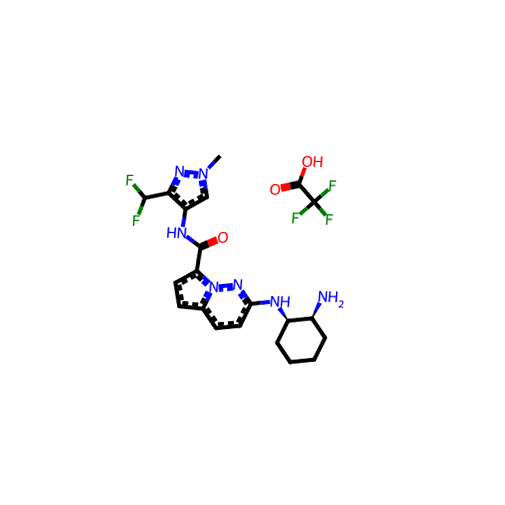 Cn1cc(NC(=O)c2ccc3ccc(N[C@@H]4CCCC[C@@H]4N)nn23)c(C(F)F)n1.O=C(O)C(F)(F)F